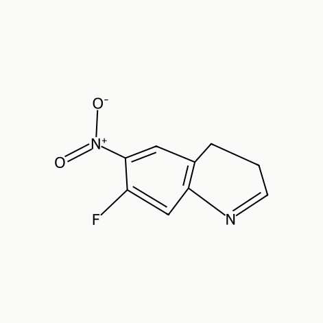 O=[N+]([O-])c1cc2c(cc1F)N=CCC2